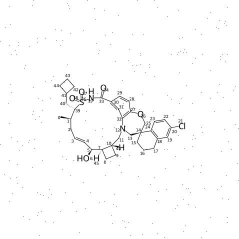 C[C@@H]1C/C=C/[C@H](O)[C@@H]2CC[C@H]2CN2C[C@@]3(CCCc4cc(Cl)ccc43)COc3ccc(cc32)C(=O)NS(=O)(=O)[C@H]1CC1CCC1